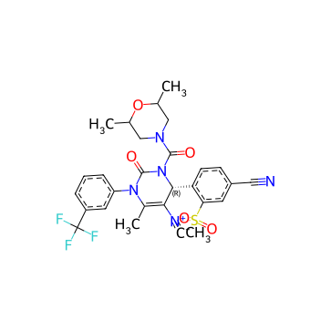 [C-]#[N+]C1=C(C)N(c2cccc(C(F)(F)F)c2)C(=O)N(C(=O)N2CC(C)OC(C)C2)[C@@H]1c1ccc(C#N)cc1S(C)(=O)=O